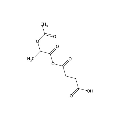 CC(=O)OC(C)C(=O)OC(=O)CCC(=O)O